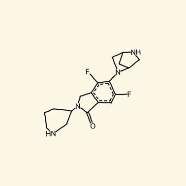 O=C1c2cc(F)c(N3CC4CC3CN4)c(F)c2CN1C1CCCNC1